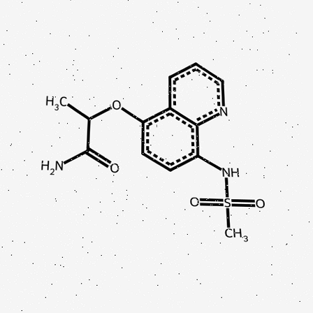 CC(Oc1ccc(NS(C)(=O)=O)c2ncccc12)C(N)=O